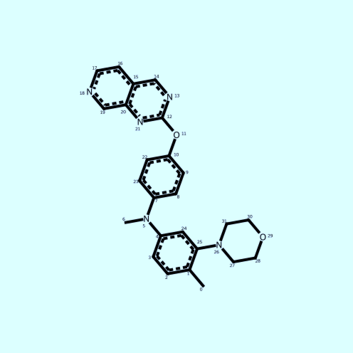 Cc1ccc(N(C)c2ccc(Oc3ncc4ccncc4n3)cc2)cc1N1CCOCC1